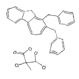 CC(Cl)(C(=O)Cl)C(Cl)Cl.c1ccc(Cc2ccc3c(c2Cc2ccccc2)Cc2ccccc2-3)cc1